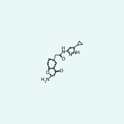 Nc1cc(=O)c2cc(CC(=O)Nc3cc(C4CC4)[nH]n3)ccc2o1